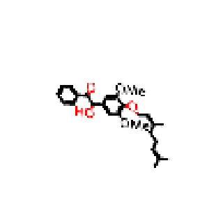 COc1cc(C(O)C(=O)c2ccccc2)cc(OC)c1OC/C=C(/C)CCC=C(C)C